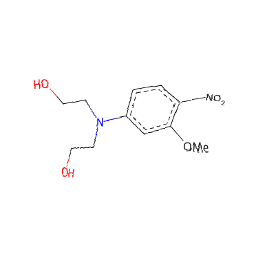 COc1cc(N(CCO)CCO)ccc1[N+](=O)[O-]